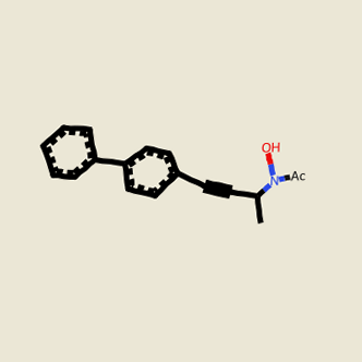 CC(=O)N(O)C(C)C#Cc1ccc(-c2ccccc2)cc1